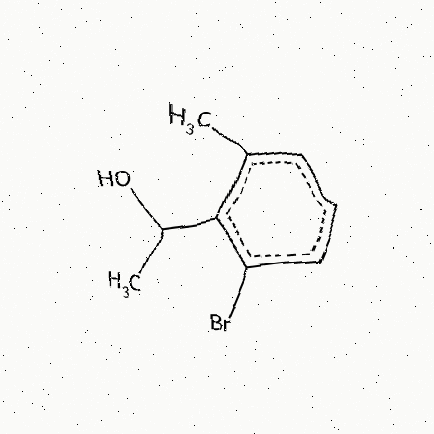 Cc1cccc(Br)c1C(C)O